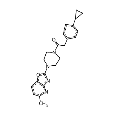 Cc1ccc2oc(N3CCN(C(=O)Cc4ccc(C5CC5)cc4)CC3)nc2n1